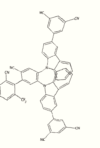 N#Cc1cc(C#N)cc(-c2ccc3c(c2)c2ccccc2n3-c2cc(C#N)c(-c3c(C#N)cccc3C(F)(F)F)cc2-n2c3ccccc3c3cc(-c4cc(C#N)cc(C#N)c4)ccc32)c1